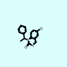 O=c1ncc2cc(Cl)ccc2n1C(I)c1ccccc1